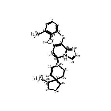 Nc1cccc(Sc2cnc(N3CCC4(CCC[C@H]4N)CC3)n3cnnc23)c1Cl